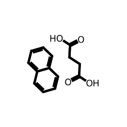 O=C(O)CCC(=O)O.c1ccc2ccccc2c1